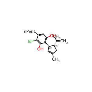 C=C(C)[C@@H]1CC(C)=C[C@H]1c1c(O)cc(CCCCC)c(Br)c1O